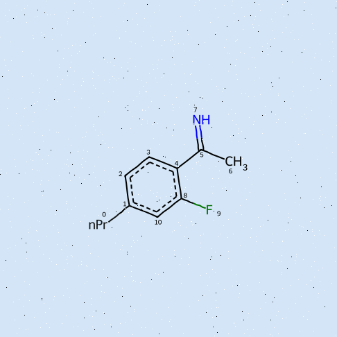 CCCc1ccc(C(C)=N)c(F)c1